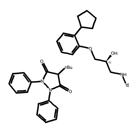 CC(C)(C)NC[C@H](O)COc1ccccc1C1CCCC1.CCCCC1C(=O)N(c2ccccc2)N(c2ccccc2)C1=O